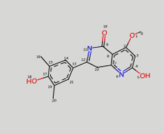 COc1cc(O)nc2c1C(=O)N=C(c1cc(C)c(O)c(C)c1)C2